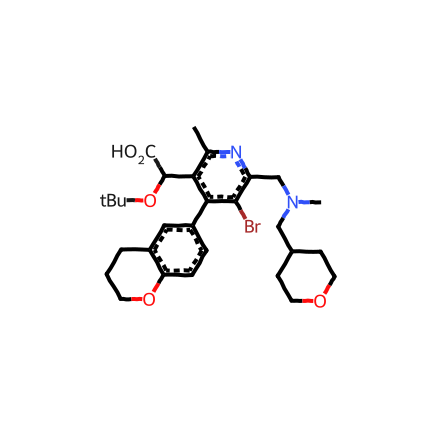 Cc1nc(CN(C)CC2CCOCC2)c(Br)c(-c2ccc3c(c2)CCCO3)c1C(OC(C)(C)C)C(=O)O